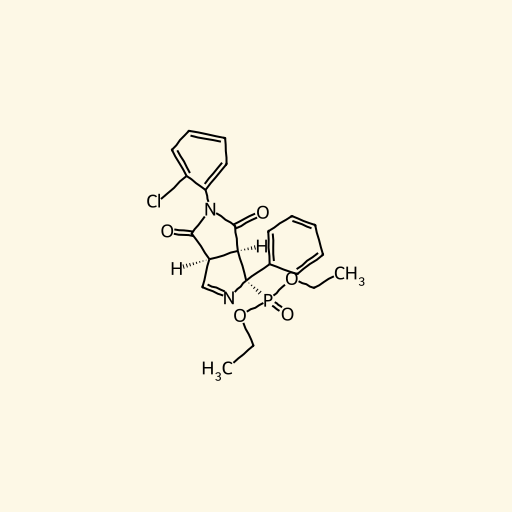 CCOP(=O)(OCC)[C@]1(c2ccccc2)N=C[C@H]2C(=O)N(c3ccccc3Cl)C(=O)[C@H]21